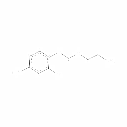 O=[N+]([O-])c1ccc(OCOCC[SiH3])c(Cl)c1